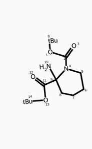 CC(C)(C)OC(=O)N1CCCCC1(N)C(=O)OC(C)(C)C